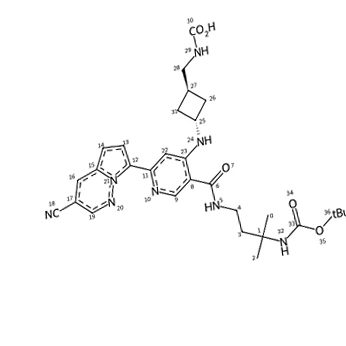 CC(C)(CCNC(=O)c1cnc(-c2ccc3cc(C#N)cnn23)cc1N[C@H]1C[C@H](CNC(=O)O)C1)NC(=O)OC(C)(C)C